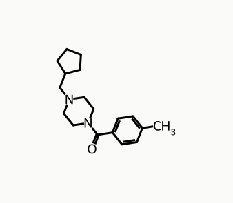 Cc1ccc(C(=O)N2CCN(CC3CCCC3)CC2)cc1